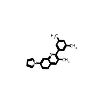 Cc1cc(C)cc(-c2nc3cc(-n4cccc4)ccc3cc2C)c1